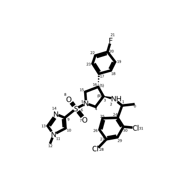 CC(N[C@H]1CN(S(=O)(=O)c2cn(C)cn2)C[C@@H]1c1ccc(F)cc1)c1ccc(Cl)cc1Cl